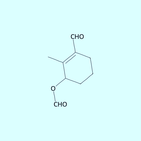 CC1=C(C=O)CCCC1OC=O